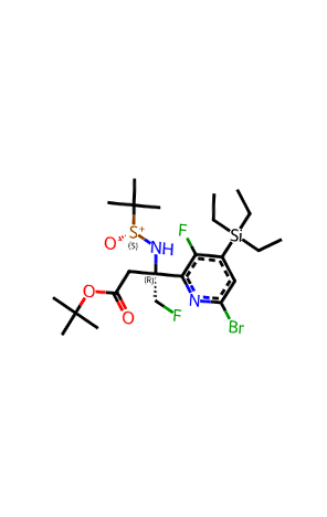 CC[Si](CC)(CC)c1cc(Br)nc([C@@](CF)(CC(=O)OC(C)(C)C)N[S@+]([O-])C(C)(C)C)c1F